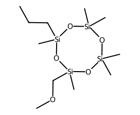 CCC[Si]1(C)O[Si](C)(C)O[Si](C)(C)O[Si](C)(COC)O1